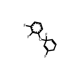 FC1=CC(F)(Oc2cccc(F)c2F)C=C[CH]1